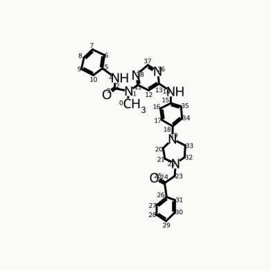 CN(C(=O)Nc1ccccc1)c1cc(Nc2ccc(N3CCN(CC(=O)c4ccccc4)CC3)cc2)ncn1